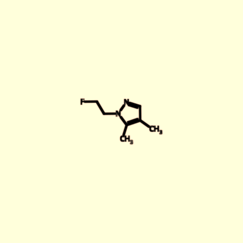 Cc1cnn(CCF)c1C